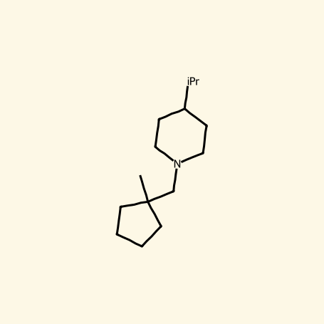 CC(C)C1CCN(CC2(C)CCCC2)CC1